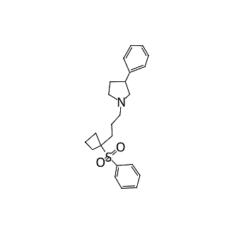 O=S(=O)(c1ccccc1)C1(CCCN2CCC(c3ccccc3)C2)CCC1